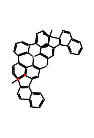 CC1(C)c2cc3c(cc2-c2c1ccc1ccccc21)Oc1cc2c(cc1N3c1c(-c3ccccc3)cccc1-c1ccccc1)C(C)(C)c1ccc3ccccc3c1-2